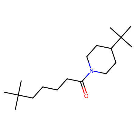 CC(C)(C)CCCCC(=O)N1CCC(C(C)(C)C)CC1